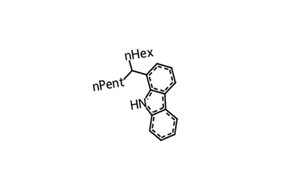 CCCCCCC(CCCCC)c1cccc2c1[nH]c1ccccc12